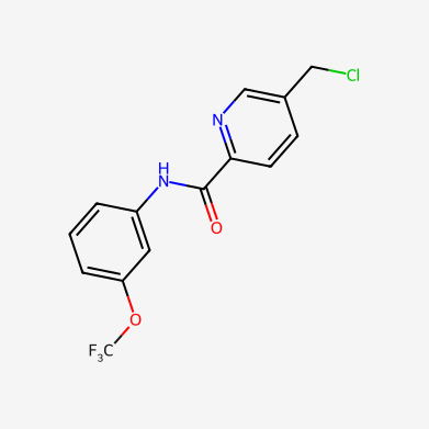 O=C(Nc1cccc(OC(F)(F)F)c1)c1ccc(CCl)cn1